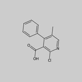 Cc1cnc(Cl)c(C(=O)O)c1-c1ccccc1